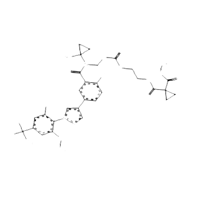 CC(C)(C)OC(=O)C1(C(=O)OCCOC(=O)OCN(C(=O)c2cc(-c3cnn(-c4c(Cl)cc(C(F)(C(F)(F)F)C(F)(F)F)cc4OC(F)(F)F)c3)ccc2Cl)C2(C#N)CC2)CC1